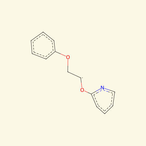 [CH](COc1ccccc1)Oc1ccccn1